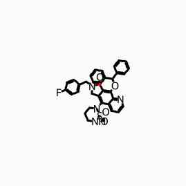 O=C1c2c(c(N3CCCNS3(=O)=O)c3cccnc3c2OC(c2ccccc2)c2ccccc2)CN1Cc1ccc(F)cc1